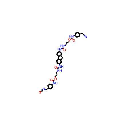 N#CCc1ccc(NC(=O)OCCCNC(=O)Nc2ccc3c(c2)Cc2cc(NC(=O)NCCCOC(=O)Nc4ccc(CN=C=O)cc4)ccc2-3)cc1